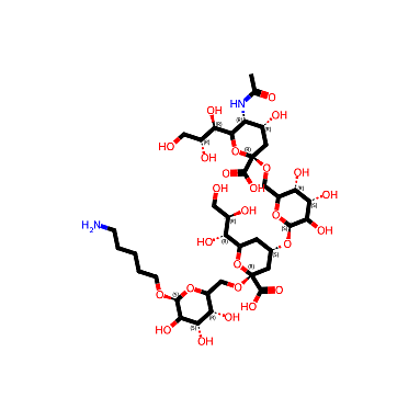 CC(=O)N[C@H]1C([C@H](O)[C@H](O)CO)O[C@@](OCC2O[C@H](O[C@H]3CC([C@H](O)[C@H](O)CO)O[C@@](OCC4O[C@H](OCCCCCN)C(O)[C@@H](O)[C@H]4O)(C(=O)O)C3)C(O)[C@@H](O)[C@H]2O)(C(=O)O)C[C@H]1O